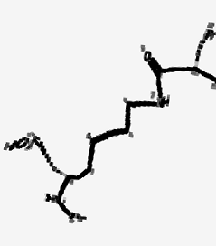 CC(C)N[C@@H](CCCCNC(=O)[C@@H](C)C(C)C)C(=O)O